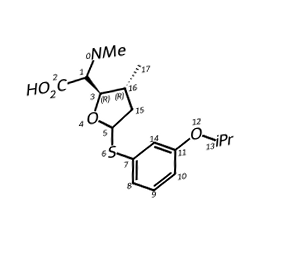 CNC(C(=O)O)[C@@H]1OC(Sc2cccc(OC(C)C)c2)C[C@H]1C